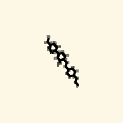 CCCC1CCC(CCc2ccc(-c3ccc(CC)nn3)cc2F)CC1